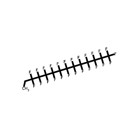 C[CH]C(F)(F)C(F)(F)C(F)(F)C(F)(F)C(F)(F)C(F)(F)C(F)(F)C(F)(F)C(F)(F)C(F)(F)C(F)(F)C(F)(F)F